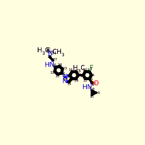 Cc1c(F)cc(C(=O)NC2CC2)cc1-c1ccc2c(cnn2-c2ccc(NCCN(C)C)cc2)c1